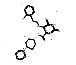 O=C(N[C@H]1CC[C@@H](c2ccccc2)CC1)c1[nH]c(=O)[nH]c(=O)c1NCCc1ccccc1Cl